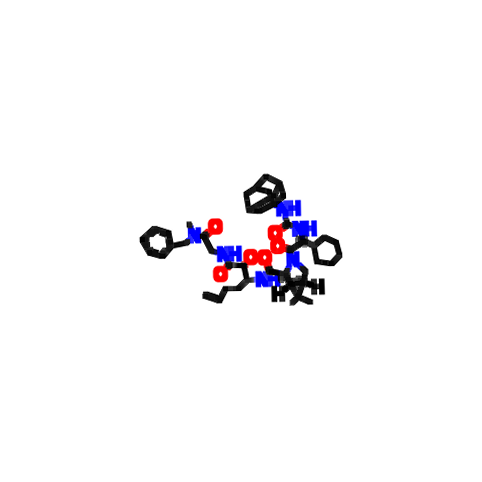 C=CCCC(NC(=O)[C@@H]1[C@@H]2[C@H](CN1C(=O)[C@@H](NC(=O)NC13CC4CC(CC(C4)C1)C3)C1CCCCC1)C2(C)C)C(=O)C(=O)NCC(=O)N(C)Cc1ccccc1